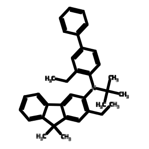 CCc1cc(-c2ccccc2)ccc1N(c1cc2c(cc1CC)C(C)(C)c1ccccc1-2)C(C)(C)C